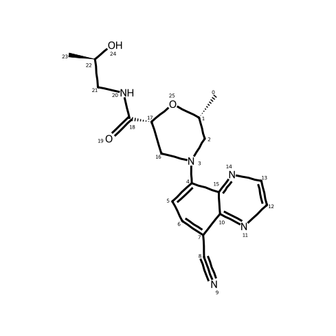 C[C@@H]1CN(c2ccc(C#N)c3nccnc23)C[C@H](C(=O)NC[C@@H](C)O)O1